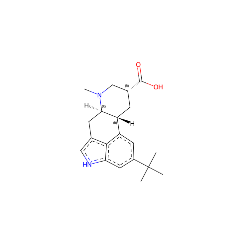 CN1C[C@H](C(=O)O)C[C@@H]2c3cc(C(C)(C)C)cc4[nH]cc(c34)C[C@H]21